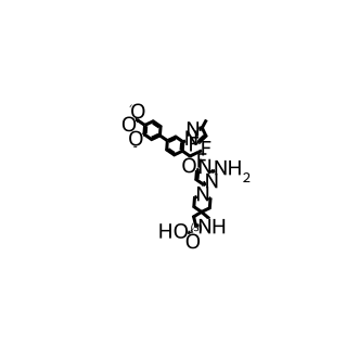 COC(=O)c1ccc(-c2ccc(C(Oc3cc(N4CCC5(CC4)CN[C@H](C(=O)O)C5)nc(N)n3)C(F)(F)F)c(-n3ccc(C)n3)c2)cc1OC